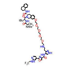 CN[C@@H](C)C(=O)N[C@H](C(=O)N1Cc2cc(OCCOCCOCCOCCOCCNCCc3n[nH]cc3NC(=O)c3coc(-c4ccnc(NCC(F)(F)F)c4)n3)ccc2C[C@H]1C(=O)N[C@@H]1CCCc2ccccc21)C(C)(C)C